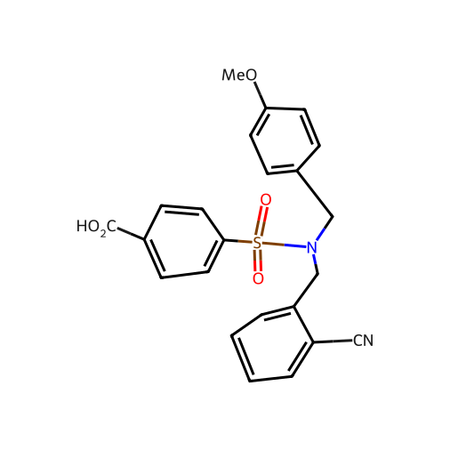 COc1ccc(CN(Cc2ccccc2C#N)S(=O)(=O)c2ccc(C(=O)O)cc2)cc1